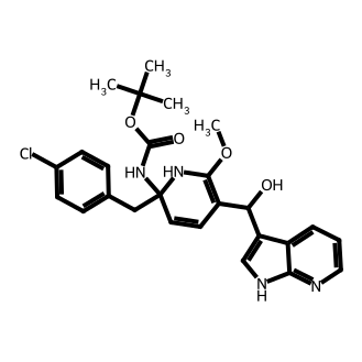 COC1=C(C(O)c2c[nH]c3ncccc23)C=CC(Cc2ccc(Cl)cc2)(NC(=O)OC(C)(C)C)N1